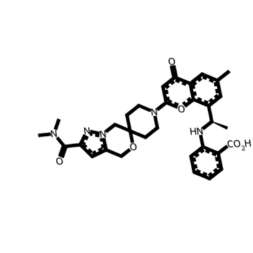 Cc1cc([C@@H](C)Nc2ccccc2C(=O)O)c2oc(N3CCC4(CC3)Cn3nc(C(=O)N(C)C)cc3CO4)cc(=O)c2c1